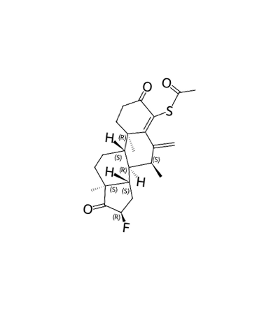 C=C1C2=C(SC(C)=O)C(=O)CC[C@]2(C)[C@H]2CC[C@]3(C)C(=O)[C@H](F)C[C@H]3[C@@H]2[C@@H]1C